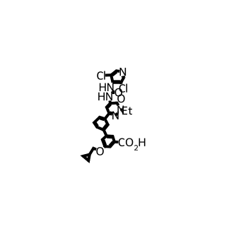 CCn1nc(-c2cccc(-c3cc(OCC4CC4)cc(C(=O)O)c3)c2)cc(NC(=O)Nc2c(Cl)cncc2Cl)c1=O